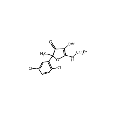 CCOC(=O)NC1=C(OC(C)=O)C(=O)C(C)(c2cc(Cl)ccc2Cl)O1